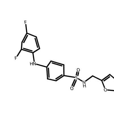 O=S(=O)(NCc1ccco1)c1ccc(Nc2ccc(F)cc2F)cc1